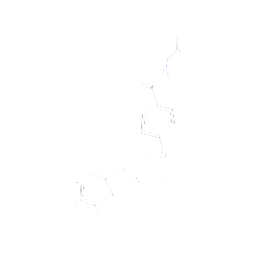 O=C(NCCO)c1ccc(NS(=O)(=O)CCc2cccc(Cl)c2Cl)cc1